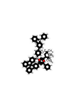 CC(C)(C)CC(c1ccc(-c2ccc3c(c2)C2(c4ccccc4-3)c3ccccc3-c3ccc(N(c4ccc(-c5ccccc5)cc4)c4ccc(-c5ccc6c(c5)c5ccccc5n6-c5ccccc5)cc4)cc32)cc1)C(C)(C)C